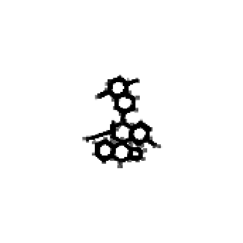 Cc1coc(=O)c2cc(N3c4ccc(F)cc4C4(c5ccccc5Oc5ccccc54)c4cc(F)ccc43)ccc12